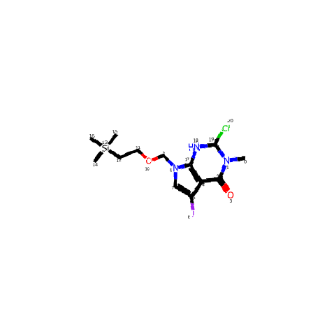 CN1C(=O)c2c(I)cn(COCC[Si](C)(C)C)c2NC1Cl